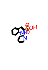 O=S(=O)(O)c1cc2ccccc2[nH]1.c1ccncc1